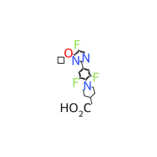 O=C(O)CC1CCN(c2c(F)cc(-c3ncc(F)c(OC4CCC4)n3)cc2F)CC1